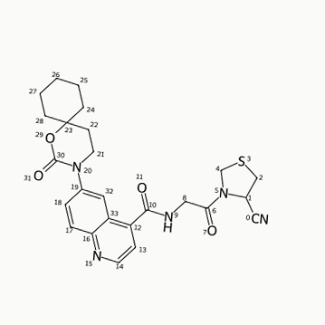 N#CC1CSCN1C(=O)CNC(=O)c1ccnc2ccc(N3CCC4(CCCCC4)OC3=O)cc12